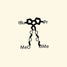 COCCOCCOCCC1(CCOCCOCCOC)c2cc(C(C)C)ccc2-c2ccc(C(C)(C)C)cc21